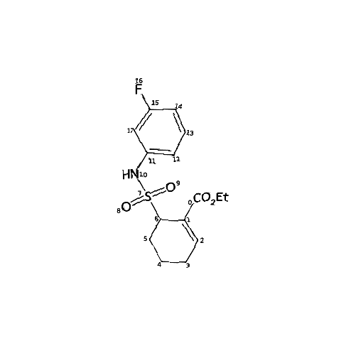 CCOC(=O)C1=CCCCC1S(=O)(=O)Nc1cccc(F)c1